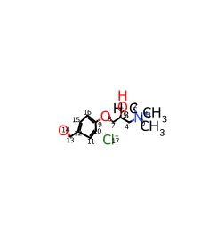 C[N+](C)(C)CC(O)COc1ccc(C=O)cc1.[Cl-]